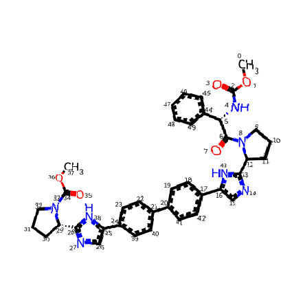 COC(=O)N[C@H](C(=O)N1CCCC1c1ncc(-c2ccc(-c3ccc(-c4cnc([C@@H]5CCCN5C(=O)OC)[nH]4)cc3)cc2)[nH]1)c1ccccc1